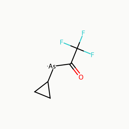 O=C([As]C1CC1)C(F)(F)F